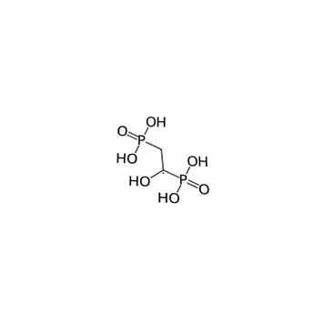 O=P(O)(O)C[C](O)P(=O)(O)O